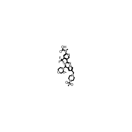 C[C@H]1COCCN1c1nc(-c2cnc(N(C)C(=O)O)cc2C(F)(F)F)nn2cc(CN3CCN(S(C)(=O)=O)CC3)cc12